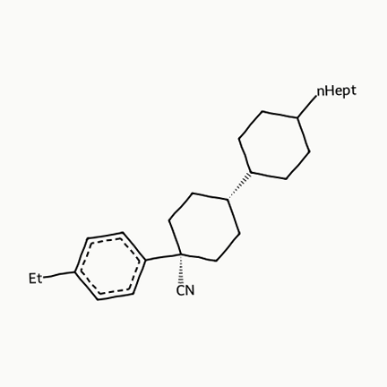 CCCCCCCC1CCC([C@H]2CC[C@](C#N)(c3ccc(CC)cc3)CC2)CC1